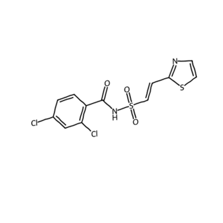 O=C(NS(=O)(=O)C=Cc1nccs1)c1ccc(Cl)cc1Cl